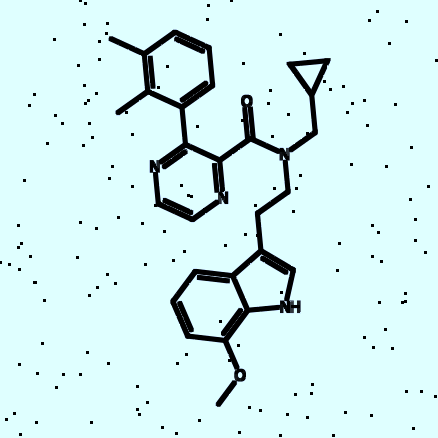 COc1cccc2c(CCN(CC3CC3)C(=O)c3nccnc3-c3cccc(C)c3C)c[nH]c12